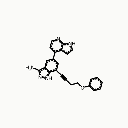 Nc1n[nH]c2c(C#CCCOc3ccccc3)cc(-c3ccnc4[nH]ccc34)cc12